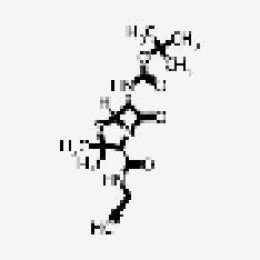 C#CCNC(=O)[C@@H]1N2C(=O)[C@@H](NC(=O)OC(C)(C)C)[C@H]2SC1(C)C